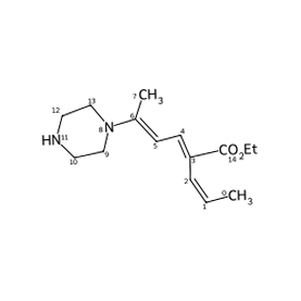 C\C=C/C(=C\C=C(/C)N1CCNCC1)C(=O)OCC